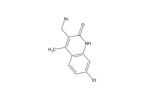 CCc1ccc2c(C)c(CC(C)=O)c(=O)[nH]c2c1